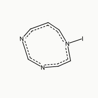 In1cccncncc1